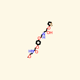 COCCNC(=O)COc1ccc(OCCNCC(O)COc2cccs2)cc1